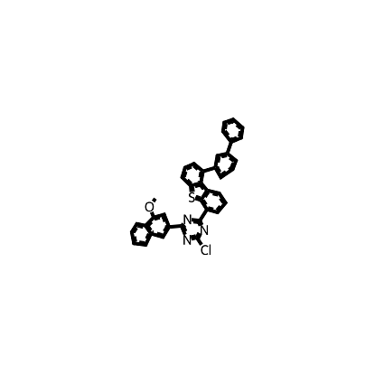 COc1cc(-c2nc(Cl)nc(-c3cccc4c3sc3cccc(-c5cccc(-c6ccccc6)c5)c34)n2)cc2ccccc12